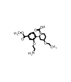 CCOC1CCN(C(=O)O)[C@H](c2ccc(C(=O)OC)cc2OCCN)C1